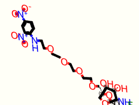 O=C(N[C@H]1[C@H]2OC[C@](COCCOCCOCCOCCNc3ccc([N+](=O)[O-])cc3[N+](=O)[O-])(O2)[C@H](O)[C@@H]1O)C(F)(F)F